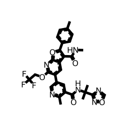 CNC(=O)c1c(-c2ccc(C)cc2)oc2nc(OCC(F)(F)F)c(-c3cnc(C)c(C(=O)NC(C)(C)c4ncon4)c3)cc12